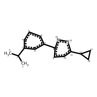 CC(C)c1cccc(-c2ccc(C3CC3)nn2)c1